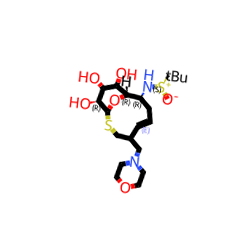 CC(C)(C)[S@@+]([O-])N[C@@H]1C/C=C/C(CN2CCOCC2)CSC2O[C@H]1C(O)C(O)[C@H]2O